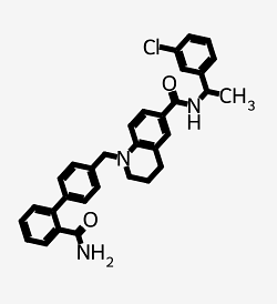 CC(NC(=O)c1ccc2c(c1)CCCN2Cc1ccc(-c2ccccc2C(N)=O)cc1)c1cccc(Cl)c1